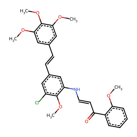 COc1ccccc1C(=O)C=CNc1cc(C=Cc2cc(OC)c(OC)c(OC)c2)cc(Cl)c1OC